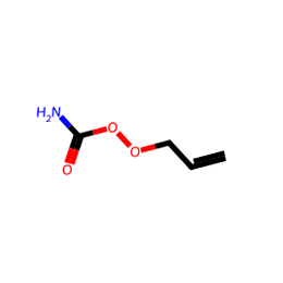 C=CCOOC(N)=O